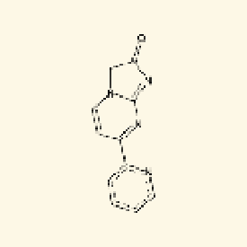 O=C1CN2C=CC(c3ccccn3)=NC2=N1